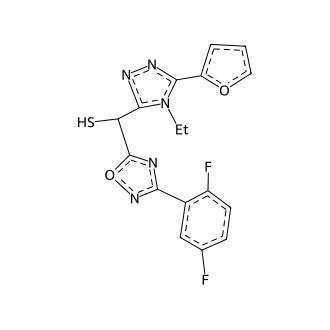 CCn1c(-c2ccco2)nnc1C(S)c1nc(-c2cc(F)ccc2F)no1